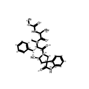 CC(C)OC(=O)NC(C(=O)N(C)[C@@H](Cc1ccccc1)C(=O)N1C[C@]2(C[C@H]1C#N)C(=O)Nc1ccccc12)C(C)(C)C